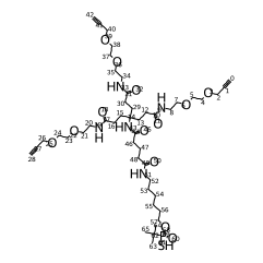 C#CCOCCOCCNC(=O)CCC(CCC(=O)NCCOCCOCC#C)(CCC(=O)NCCOCCOCC#C)NC(=O)CCCC(=O)NCCCCCCOP(=O)(S)C(C)(C)C